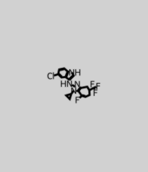 FC1=CCC(C(F)(F)F)Cc2nc(Nc3c[nH]c4ccc(Cl)cc34)n(C3CC3)c21